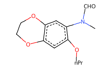 CCCOc1cc2c(cc1N(C)C=O)OCCO2